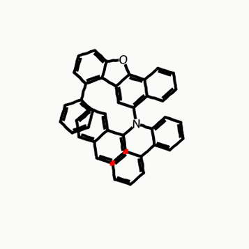 c1ccc(-c2ccccc2N(c2cccc3ccccc23)c2cc3c(oc4cccc(-c5ccccc5)c43)c3ccccc23)cc1